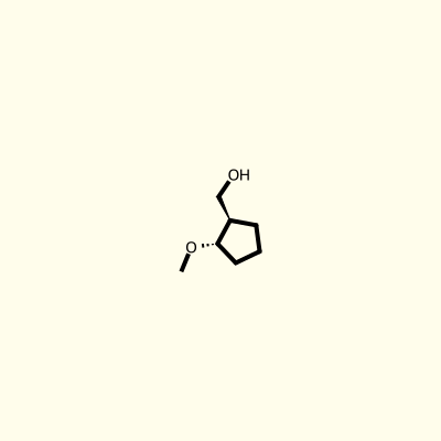 CO[C@H]1CCC[C@@H]1CO